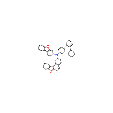 c1ccc(-c2ccccc2-c2ccc(N(c3ccc4c(c3)oc3ccccc34)c3ccc4ccc5oc6ccccc6c5c4c3)cc2)cc1